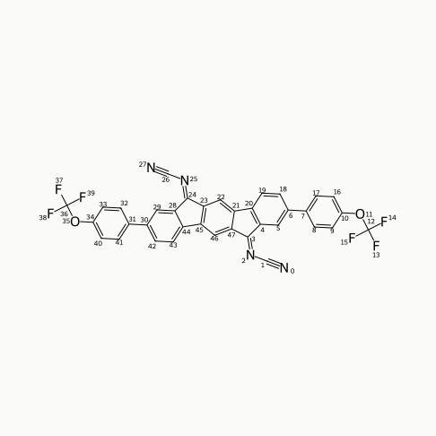 N#C/N=c1\c2cc(-c3ccc(OC(F)(F)F)cc3)ccc2c2cc3/c(=N/C#N)c4cc(-c5ccc(OC(F)(F)F)cc5)ccc4c3cc12